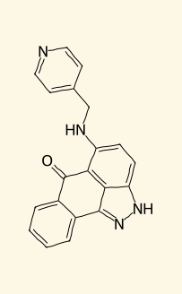 O=C1c2ccccc2-c2n[nH]c3ccc(NCc4ccncc4)c1c23